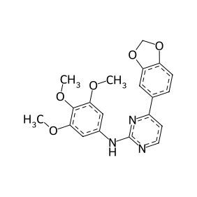 COc1cc(Nc2nccc(-c3ccc4c(c3)OCO4)n2)cc(OC)c1OC